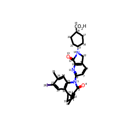 CC#CC(=O)N(c1ccc2c(n1)C(=O)N([C@H]1CC[C@H](C(=O)O)CC1)C2)c1cc(C)c(I)cc1C1CC1